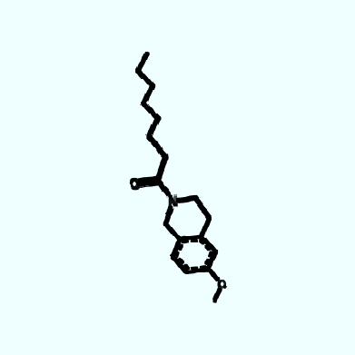 CCCCCCCC(=O)N1CCc2cc(OC)ccc2C1